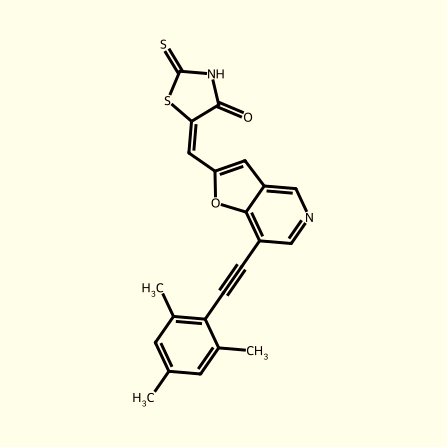 Cc1cc(C)c(C#Cc2cncc3cc(C=C4SC(=S)NC4=O)oc23)c(C)c1